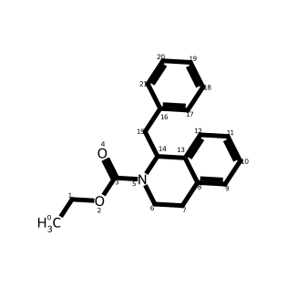 CCOC(=O)N1CCc2ccccc2C1Cc1ccccc1